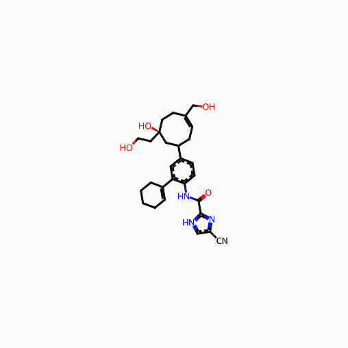 N#Cc1c[nH]c(C(=O)Nc2ccc(C3C/C=C(/CO)CC[C@@](O)(CCO)C3)cc2C2=CCCCC2)n1